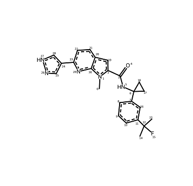 Cn1c(C(=O)NC2(c3cccc(C(C)(C)F)c3)CC2)cc2ccc(-c3cn[nH]c3)nc21